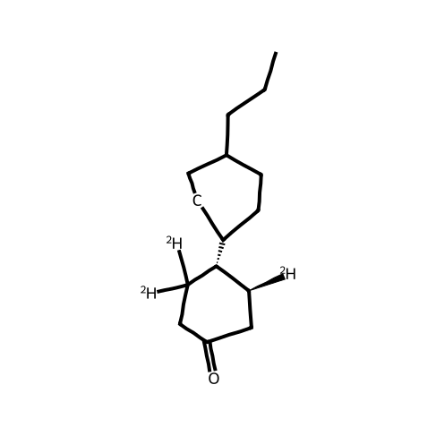 [2H][C@H]1CC(=O)CC([2H])([2H])[C@@H]1C1CCC(CCC)CC1